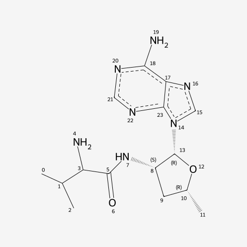 CC(C)C(N)C(=O)N[C@H]1C[C@@H](C)O[C@H]1n1cnc2c(N)ncnc21